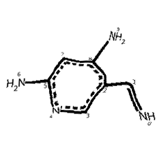 N=Cc1cnc(N)cc1N